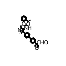 Cc1nsc(-c2ccc(-c3ccc(C4(C=O)COC4)cc3)cc2)c1NC(=O)O[C@H](C)c1ccccc1